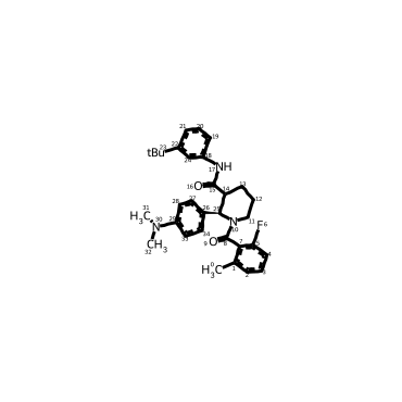 Cc1cccc(F)c1C(=O)N1CCCC(C(=O)Nc2cccc(C(C)(C)C)c2)[C@@H]1c1ccc(N(C)C)cc1